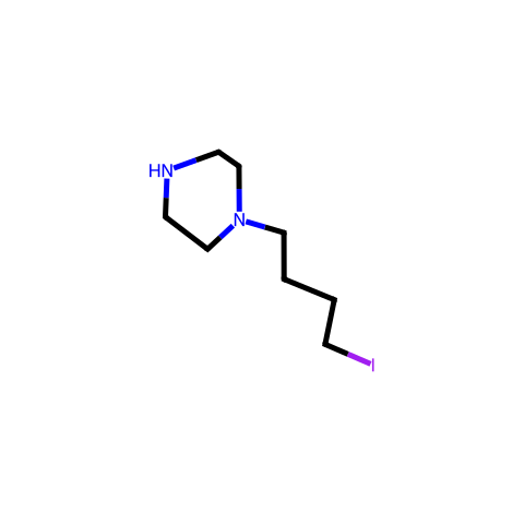 ICCCCN1CCNCC1